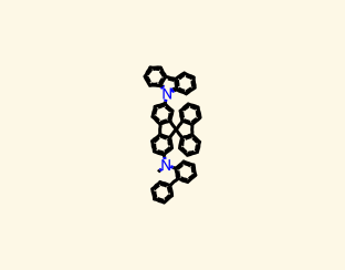 CN(c1ccc2c(c1)C1(c3ccccc3-c3ccccc31)c1cc(-n3c4ccccc4c4ccccc43)ccc1-2)c1ccccc1-c1ccccc1